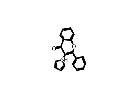 O=c1c([SH]2C=CC=C2)c(-c2ccccc2)oc2ccccc12